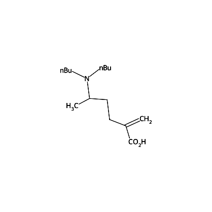 C=C(CCC(C)N(CCCC)CCCC)C(=O)O